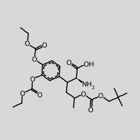 CCOC(=O)Oc1ccc(C(CC(C)OC(=O)OCC(C)(C)C)[C@H](N)C(=O)O)cc1OC(=O)OCC